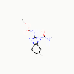 CCOC(=O)Nc1nc2ccc(C)cc2n1C(=O)NC